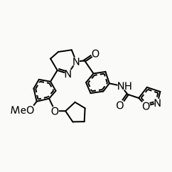 COc1ccc(C2=NN(C(=O)c3cccc(NC(=O)c4ccno4)c3)CCC2)cc1OC1CCCC1